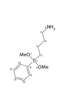 C[O][Ti]([CH2]CCCN)([O]C)[c]1ccccc1